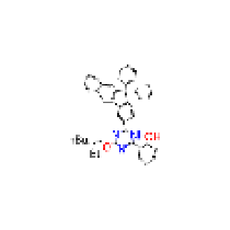 CCCCC(CC)COC1=NC(c2ccc3c(c2)C2=C(C=C4C=CC=CC4C2)C3(C2=CC=CCC2)C2=CC=CCC2)NC(C2C=CC=CC2O)=N1